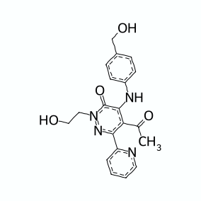 CC(=O)c1c(-c2ccccn2)nn(CCO)c(=O)c1Nc1ccc(CO)cc1